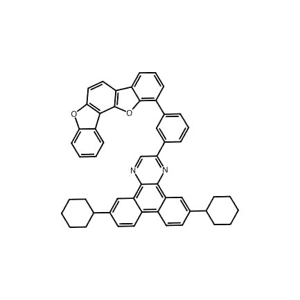 c1cc(-c2cnc3c4cc(C5CCCCC5)ccc4c4ccc(C5CCCCC5)cc4c3n2)cc(-c2cccc3c2oc2c3ccc3oc4ccccc4c32)c1